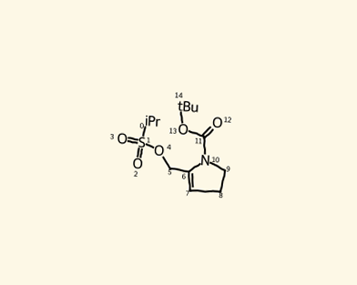 CC(C)S(=O)(=O)OCC1=CCCN1C(=O)OC(C)(C)C